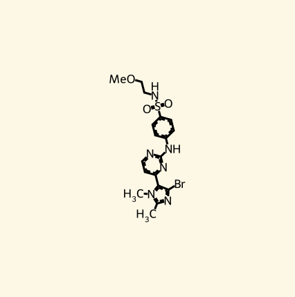 COCCNS(=O)(=O)c1ccc(Nc2nccc(-c3c(Br)nc(C)n3C)n2)cc1